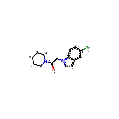 O=C(Cn1ccc2cc(Br)ccc21)N1CCCCC1